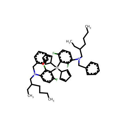 CCCCC(CC)CN(Cc1ccccc1)c1ccc(F)[c]([Ti]([c]2c(F)ccc(N(Cc3ccccc3)CC(CC)CCCC)c2F)([CH]2C=CC=C2)[CH]2C=CC=C2)c1F